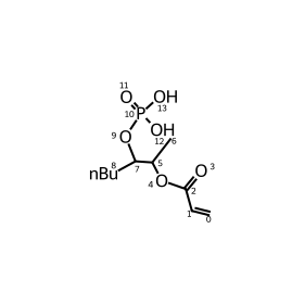 C=CC(=O)OC(C)C(CCCC)OP(=O)(O)O